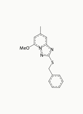 COc1cc(C)cc2nc(SCc3ccccc3)nn12